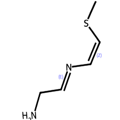 CS/C=C\N=C\CN